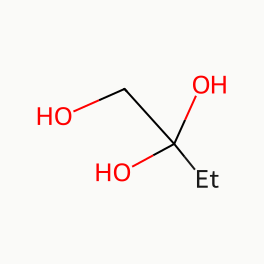 CCC(O)(O)CO